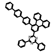 c1ccc(-c2ccc(-c3ccc(-c4cc(-c5nc(-c6ccccc6)nc(-c6ccccc6)n5)cc5c6ccccc6c6ccccc6c45)cc3)cc2)cc1